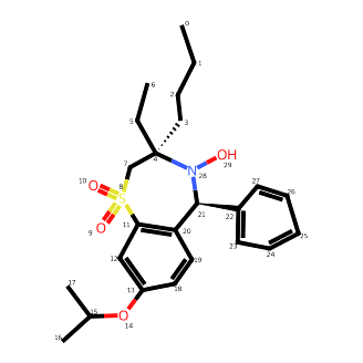 CCCC[C@@]1(CC)CS(=O)(=O)c2cc(OC(C)C)ccc2[C@H](c2ccccc2)N1O